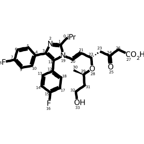 CC(C)c1nc(-c2ccc(F)cc2)c(-c2ccc(F)cc2)n1C=C[C@H](CC(=O)CC(=O)O)O[C@H](C)CCO